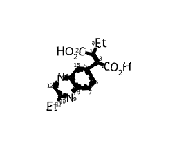 CCC(C(=O)O)=C(C(=O)O)c1ccc2nc(CC)cnc2c1